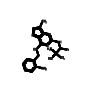 CCC(Nc1nc(NCc2ccccc2N)c2ncn(C)c2n1)C(C)(C)O